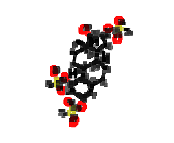 C[C@]12CC[C@@H]3c4c(cc(OS(C)(=O)=O)cc4OS(C)(=O)=O)CC[C@@H]3[C@@H]1C[C@@H](OS(C)(=O)=O)C2=O